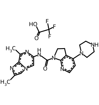 Cc1cn2cc(NC(=O)N3CCc4c(N5CCNCC5)ccnc43)nc(C)c2n1.O=C(O)C(F)(F)F